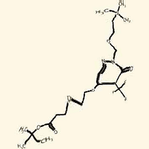 CC(C)(C)OC(=O)CCOCCOc1cnn(COCC[Si](C)(C)C)c(=O)c1C(F)(F)F